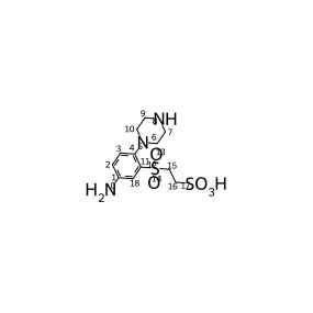 Nc1ccc(N2CCNCC2)c(S(=O)(=O)CCS(=O)(=O)O)c1